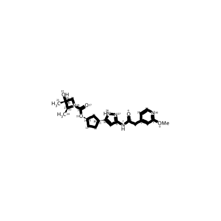 COc1cc(CC(=O)Nc2cc([C@@H]3CC[C@H](OC(=O)N4C[C@@](C)(O)[C@@H]4C)C3)[nH]n2)ccn1